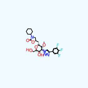 CO[C@@H]1[C@@H](n2cc(-c3cc(F)c(F)c(F)c3)nn2)[C@@H](O)[C@@H](CO)O[C@@H]1CC1CN(C2CCCCC2)C(=O)O1